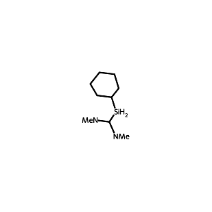 CNC(NC)[SiH2]C1CCCCC1